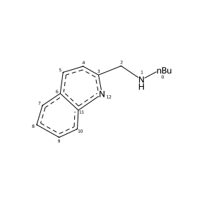 CCCCNCc1ccc2ccccc2n1